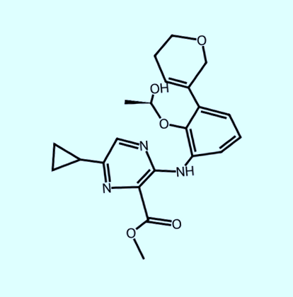 COC(=O)c1nc(C2CC2)cnc1Nc1cccc(C2=CCCOC2)c1O[C@@H](C)O